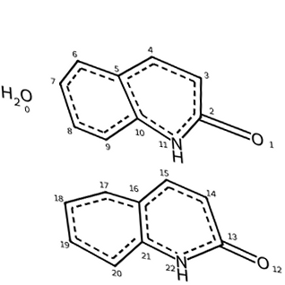 O.O=c1ccc2ccccc2[nH]1.O=c1ccc2ccccc2[nH]1